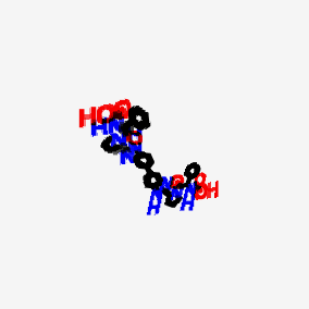 O=C(O)NC(C(=O)N1CCCC1c1nc2cc(-c3ccc4[nH]c([C@@H]5CCCN5C(=O)[C@H](NC(=O)O)c5ccccc5)nc4c3)ccc2[nH]1)c1ccccc1